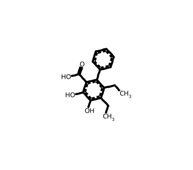 CCc1c(O)c(O)c(C(=O)O)c(-c2ccccc2)c1CC